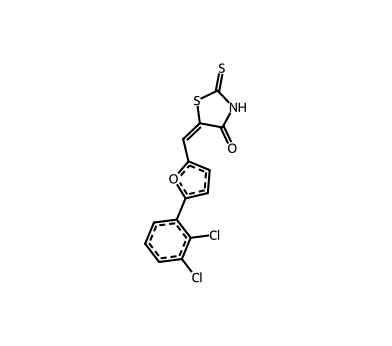 O=C1NC(=S)SC1=Cc1ccc(-c2cccc(Cl)c2Cl)o1